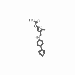 Cc1oc(OC(=O)O)cc1CNc1ccc(-c2ccccc2)cc1